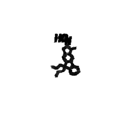 CCCC1(CCC)c2ccccc2-c2cc3c(cc21)CC(=NO)C3C